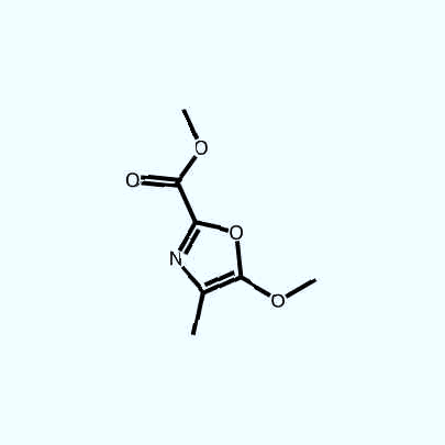 COC(=O)c1nc(C)c(OC)o1